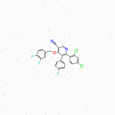 N#Cc1cnc(-c2ccc(Cl)cc2Cl)c(-c2ccc(F)cc2)c1OCc1ccc(F)c(F)c1